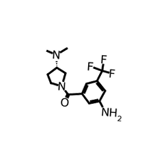 CN(C)[C@H]1CCN(C(=O)c2cc(N)cc(C(F)(F)F)c2)C1